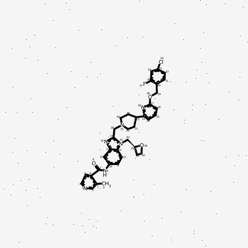 Cc1cnccc1C(=O)Nc1ccc2c(c1)nc(CN1CCC(c3cccc(OCc4ccc(Cl)cc4F)n3)CC1)n2C[C@@H]1CCO1